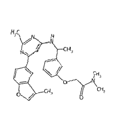 Cc1nc(NC(C)c2cccc(OCC(=O)N(C)C)c2)cc(-c2ccc3occ(C)c3c2)n1